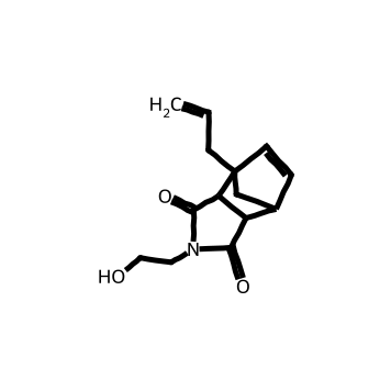 C=CCC12C=CC(C1)C1C(=O)N(CCO)C(=O)C12